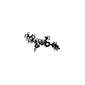 CC(=O)c1nn(CC(=O)N2C[C@H](F)C[C@H]2C(=O)Nc2cncc(C(F)(F)F)n2)c2ccc(-c3cnc4cc(C)nn4c3)cc12